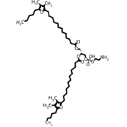 CCCCCc1oc(CCCCCCCCCCCCC(=O)OC[C@H](COP(=O)(O)OCCN)OC(=O)CCCCCCCCCCCCc2oc(CCCCC)c(C)c2C)c(C)c1C